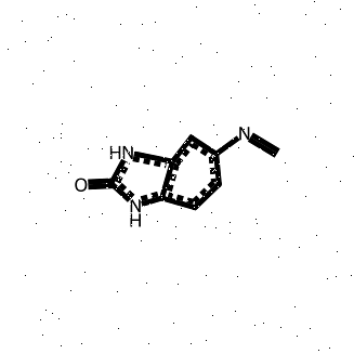 C=Nc1ccc2[nH]c(=O)[nH]c2c1